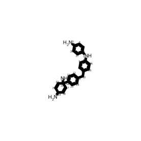 Nc1ccc(Nc2ccc(Cc3ccc(C4(N)C=CC(N)C=C4)cc3)cc2)cc1